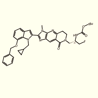 Cn1c(-c2cc3cccc(OCc4ccccc4)c3n2CC2CC2)nc2cc3c(nc21)CCN(C[C@@H](CF)NC(=O)OC(C)(C)C)C3=O